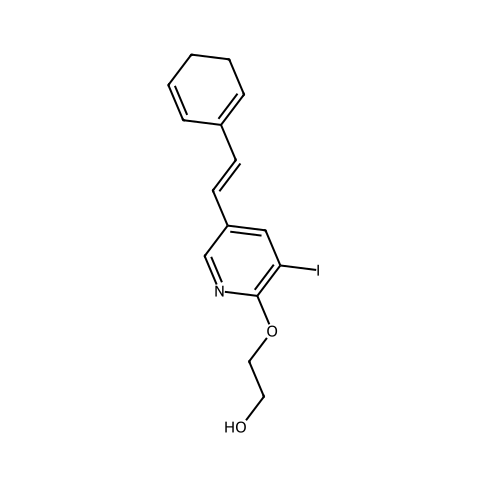 OCCOc1ncc(/C=C/C2=CCCC=C2)cc1I